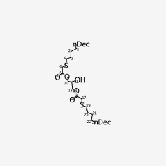 CCCCCCCCCCCCCCSCC(=O)OCC(O)COC(=O)CSCCCCCCCCCCCCCC